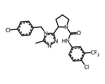 Cc1nnc(C2CCCN2C(=O)Nc2ccc(Cl)c(C(F)(F)F)c2)n1Cc1ccc(Cl)cc1